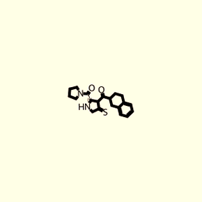 O=C(C1CCc2ccccc2C1)C1C(=S)CN[C@@H]1C(=O)N1CCCC1